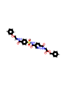 O=C(CNC(=O)c1ccc(C(=O)NS(=O)(=O)c2ccc(C(=O)NCCOc3ccccc3)cc2)cn1)OCc1ccccc1